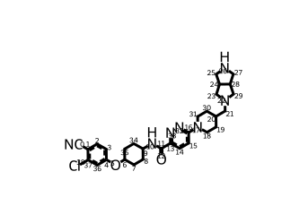 N#Cc1ccc(OC2CCC(NC(=O)c3ccc(N4CCC(CN5CC6CNCC6C5)CC4)nn3)CC2)cc1Cl